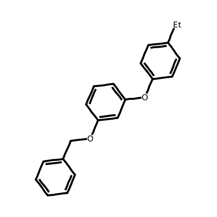 CCc1ccc(Oc2cccc(OCc3ccccc3)c2)cc1